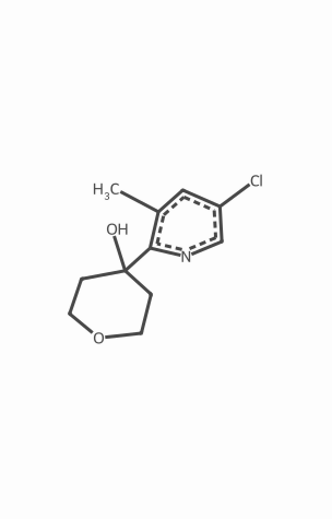 Cc1cc(Cl)cnc1C1(O)CCOCC1